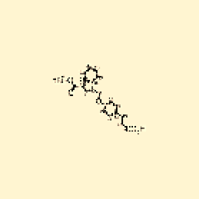 CC(C)(C)OC(=O)n1cc(COc2ccc(CCC(=O)O)cc2)c2ccccc21